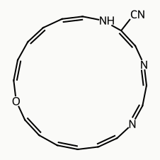 N#Cc1cnccnccccccocccccc[nH]1